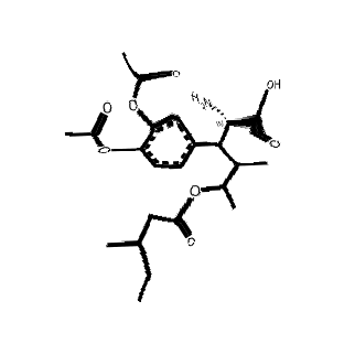 CCC(C)CC(=O)OC(C)C(C)C(c1ccc(OC(C)=O)c(OC(C)=O)c1)[C@H](N)C(=O)O